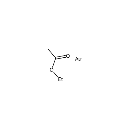 CCOC(C)=O.[Au]